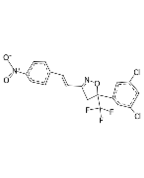 O=[N+]([O-])c1ccc(C=CC2=NOC(c3cc(Cl)cc(Cl)c3)(C(F)(F)F)C2)cc1